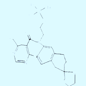 CC(C)(C)[Si](C)(C)OCCN(C(=O)c1c(Cl)ncnc1Cl)c1ccc2c(c1)CCC1(C2)OCCO1